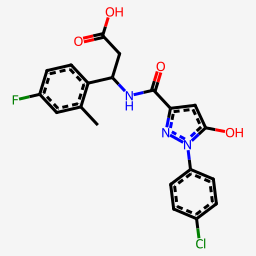 Cc1cc(F)ccc1C(CC(=O)O)NC(=O)c1cc(O)n(-c2ccc(Cl)cc2)n1